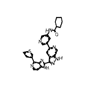 O=C(Nc1cncc(-c2cc3c(-c4nc5c(-c6ccsc6)nccc5[nH]4)n[nH]c3cn2)c1)C1CCCCC1